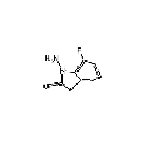 NN1C(=O)Cc2cccc(F)c21